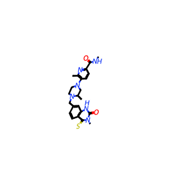 CNC(=O)c1ccc(N2CCN(Cc3ccc4c(=S)n(C)c(=O)[nH]c4c3)C(C)C2)c(C)n1